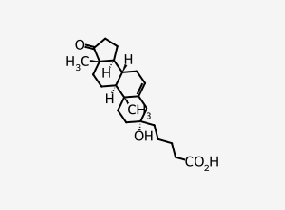 C[C@]12CC[C@](O)(CCCCC(=O)O)CC1=CC[C@@H]1[C@@H]2CC[C@]2(C)C(=O)CC[C@@H]12